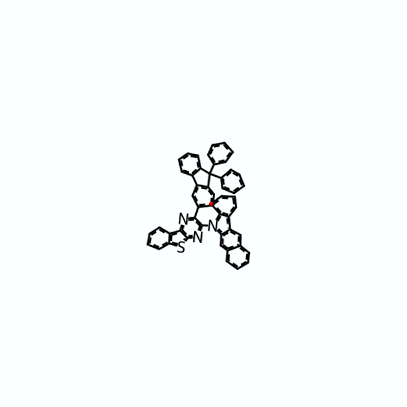 c1ccc(C2(c3ccccc3)c3ccccc3-c3cc(-c4nc5c(nc4-n4c6ccccc6c6cc7ccccc7cc64)sc4ccccc45)ccc32)cc1